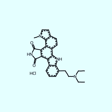 CCN(CC)CCc1cccc2c1[nH]c1c3ccc4ccn(C)c4c3c3c(c21)C(=O)NC3=O.Cl